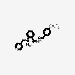 C=C(NOCc1ccc(OC(F)(F)F)cc1)c1ccccc1NCc1ccncc1